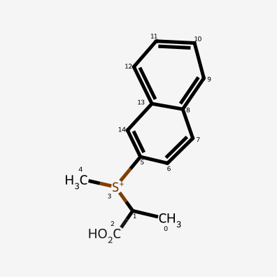 CC(C(=O)O)[S+](C)c1ccc2ccccc2c1